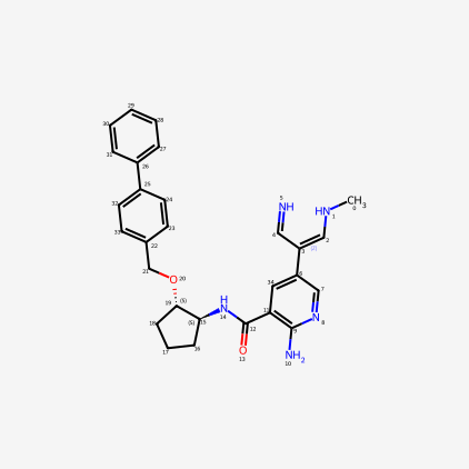 CN/C=C(\C=N)c1cnc(N)c(C(=O)N[C@H]2CCC[C@@H]2OCc2ccc(-c3ccccc3)cc2)c1